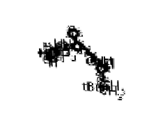 CN1[C@@H]2C[C@@H](OC(=O)Nc3ccc(CCCC(=O)Nc4ccc(CO[Si](C)(C)C(C)(C)C)cc4Cl)cc3-c3ccccc3)C[C@H]1[C@@H]1O[C@@H]12